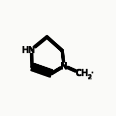 [CH2]N1C#CNCC1